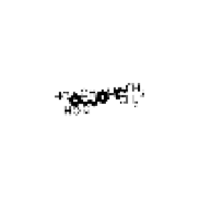 C=C/C=C(\C=C)Oc1ccc(/C=C/C(=O)c2c(O)cc(O)cc2O)cc1